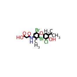 Cc1c(NC(=O)CC(=O)O)cc(Br)c(Oc2cc(Cl)c(O)c(C(C)C)c2)c1Br